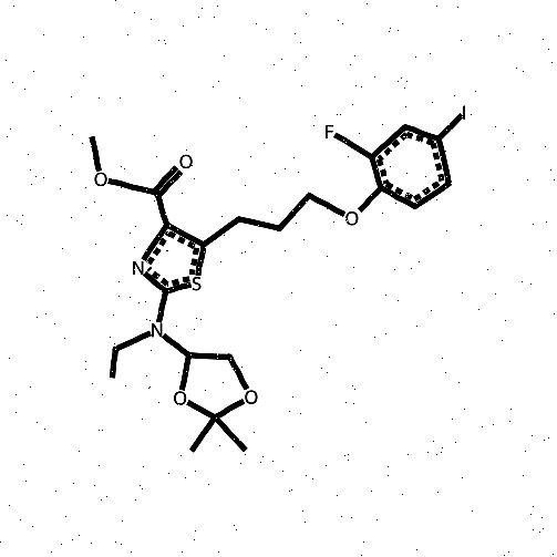 CCN(c1nc(C(=O)OC)c(CCCOc2ccc(I)cc2F)s1)C1COC(C)(C)O1